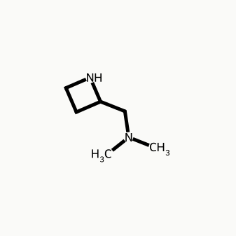 CN(C)CC1CCN1